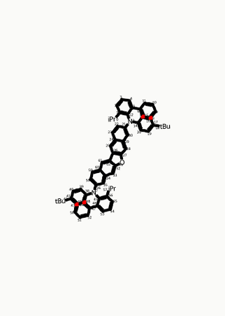 CC(C)c1cccc(-c2ccccc2)c1N(c1ccc(C(C)(C)C)cc1)c1ccc2cc3c(cc2c1)oc1cc2cc(N(c4ccc(C(C)(C)C)cc4)c4c(-c5ccccc5)cccc4C(C)C)ccc2cc13